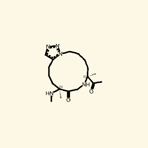 CN[C@@]1(C)CCCc2cnnn2CCCC[C@@](C)(C(C)=O)NCC1=O